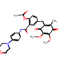 COC1=C(OC)C(=O)C(Cc2ccc(OC(C)=O)c(C(=O)Nc3ccc(N4CCOCC4)cc3)c2)=C(C)C1=O